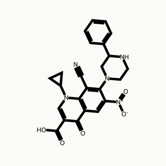 N#Cc1c(N2CCNC(c3ccccc3)C2)c([N+](=O)[O-])cc2c(=O)c(C(=O)O)cn(C3CC3)c12